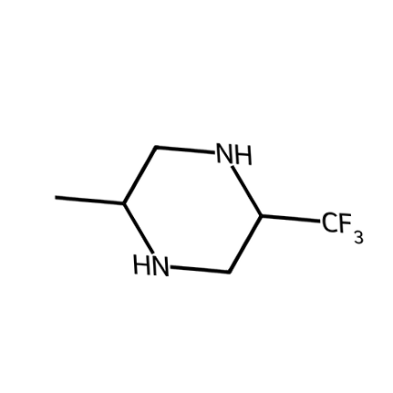 CC1CNC(C(F)(F)F)CN1